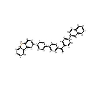 C=C(c1ccc(-c2ccc(-c3ccc4sc5ccccc5c4c3)cc2)cc1)c1ccc(-c2ccc3ccccc3c2)cc1